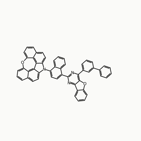 c1ccc(-c2cccc(-c3nc(-c4ccc(-n5c6ccc7cccc8oc9cccc%10ccc5c(c%109)c6c78)c5ccccc45)nc4c3oc3ccccc34)c2)cc1